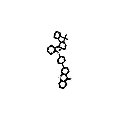 CC1(C)c2ccccc2-c2c1ccc1c2c2ccccc2n1-c1ccc(-c2ccc3c(=O)c4ccccc4oc3c2)cc1